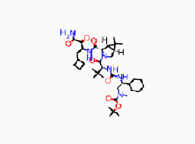 CN(C[C@@H](NC(=O)N[C@H](C(=O)N1C[C@H]2[C@@H]([C@H]1C(=O)NC(CC1CCC1)C(=O)C(N)=O)C2(C)C)C(C)(C)C)C1CCCCC1)C(=O)OC(C)(C)C